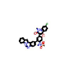 CNC(=O)c1c(-c2ccc(F)cc2)oc2cc(N(C)S(C)(=O)=O)c(-c3ccc4ncn5c6ccccc6cc5c4c3)cc12